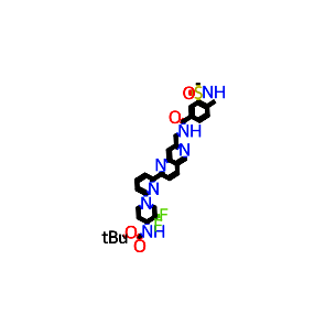 Cc1ccc(C(=O)NCc2cc3nc(-c4cccc(N5CCC(NC(=O)OC(C)(C)C)C(F)(F)C5)n4)ccc3cn2)cc1S(C)(=N)=O